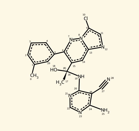 Cc1cccc(-c2nn3c(Cl)cnc3cc2[C@@](C)(O)Nc2ncnc(N)c2C#N)c1